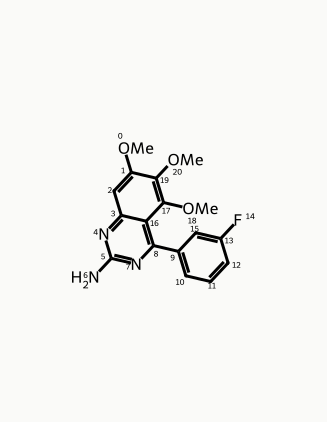 COc1cc2nc(N)nc(-c3cccc(F)c3)c2c(OC)c1OC